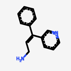 NCC=C(c1ccccc1)c1cccnc1